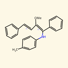 COC(/C=C/c1ccccc1)=C(/Nc1ccc(C)cc1)c1ccccc1